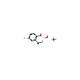 COc1ccc2c(c1)C(C)(C)CN(C(=O)OC(C)(C)C)C2=O